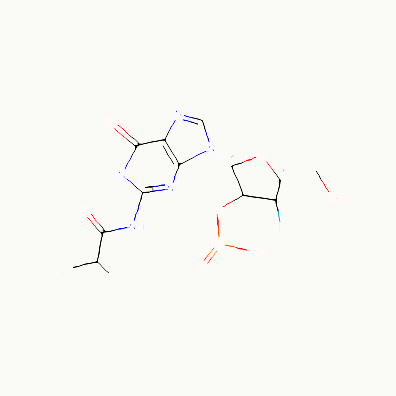 CC(C)C(=O)Nc1nc2c(ncn2[C@@H]2O[C@H](CO)C(F)C2O[PH](=O)O)c(=O)[nH]1